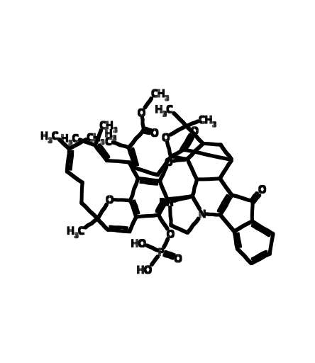 COC(=O)/C(C)=C\CC12OC(C)(C)C3CC(C1=O)C1C4=C(c5ccccc5C4=O)N4CCNC45c4c(OP(=O)(O)O)c6c(c(CC=C(C)C)c4OC32C15)OC(C)(CCC=C(C)C)C=C6